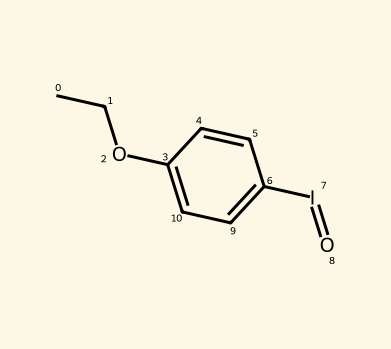 CCOc1ccc(I=O)cc1